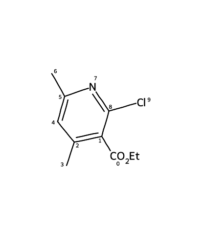 CCOC(=O)c1c(C)cc(C)nc1Cl